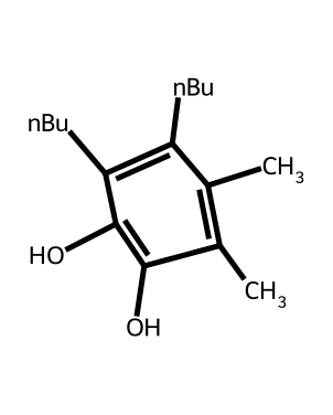 CCCCc1c(C)c(C)c(O)c(O)c1CCCC